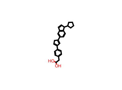 OC(O)Cc1ccc(C2=CCC(c3ccc4c(c3)C=CC4C3CCCC3)=C2)cc1